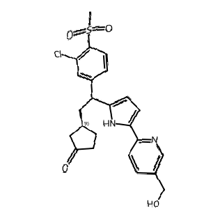 CS(=O)(=O)c1ccc(C(C[C@H]2CCC(=O)C2)c2ccc(-c3ccc(CO)cn3)[nH]2)cc1Cl